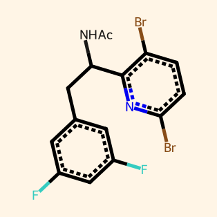 CC(=O)NC(Cc1cc(F)cc(F)c1)c1nc(Br)ccc1Br